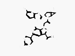 Cc1ncc(-c2cc3c(C(N)=O)nn(CC(=O)N4[C@H](C(=O)Nc5nc(Br)ccc5Cl)C[C@@]5(C)C[C@@H]45)c3c(C)n2)cn1